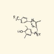 CCN(Cc1sc(-c2ccc(C(F)(F)F)cc2)nc1C)c1cc(C)c(O)c(C)c1